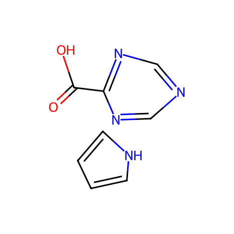 O=C(O)c1ncncn1.c1cc[nH]c1